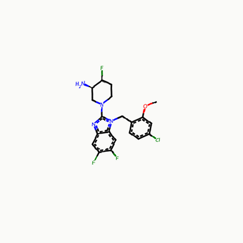 COc1cc(Cl)ccc1Cn1c(N2CCC(F)[C@H](N)C2)nc2cc(F)c(F)cc21